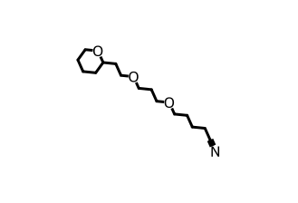 N#CCCCCOCCCOCCC1CCCCO1